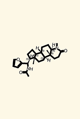 CC(=O)NC(c1ccco1)[C@H]1CC[C@H]2[C@@H]3CC[C@H]4N(C)C(=O)CC[C@]4(C)[C@H]3CC[C@]12C